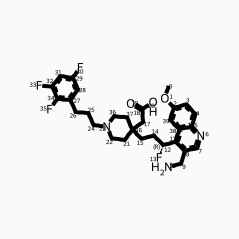 COc1ccc2ncc(CN)c([C@H](F)CCC3(CC(=O)O)CCN(CCCc4cc(F)cc(F)c4F)CC3)c2c1